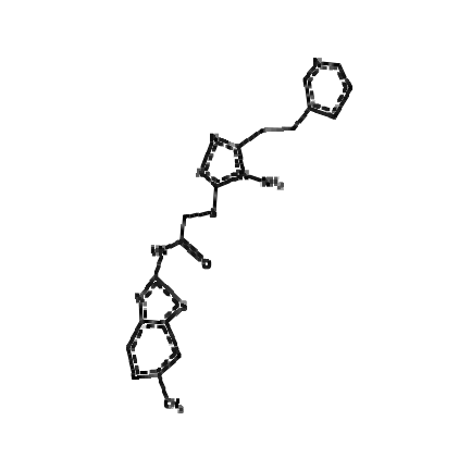 Cc1ccc2nc(NC(=O)CSc3nnc(CCc4cccnc4)n3N)sc2c1